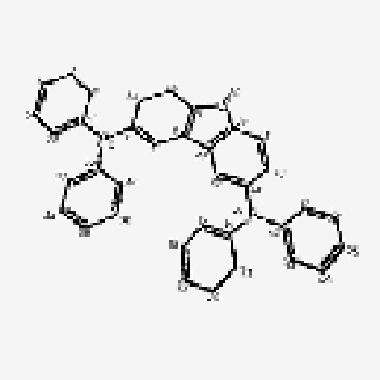 C1=CCCC(P(C2=Cc3c(sc4ccc(P(C5=CC=CCC5)c5ccccc5)cc34)CC2)c2ccccc2)=C1